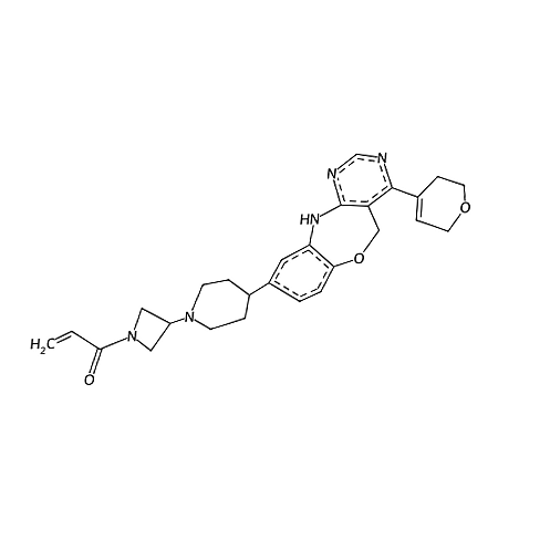 C=CC(=O)N1CC(N2CCC(c3ccc4c(c3)Nc3ncnc(C5=CCOCC5)c3CO4)CC2)C1